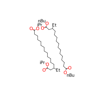 CCC(CCCCCCCCCCCCC(=O)OC(C)C)CC(=O)OC(C)C.CCCCOC(=O)CCCCCCCCCCCCC(CC)CC(=O)OCCCC